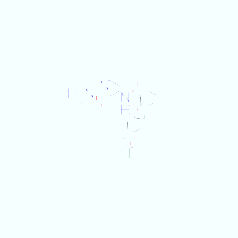 Cc1c(C2CC2)ccc(Oc2ccc(OC(F)(F)F)cc2Cl)c1C(=O)Nc1ccnc(C(N)=O)c1